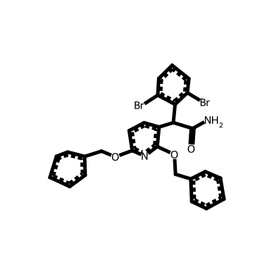 NC(=O)C(c1ccc(OCc2ccccc2)nc1OCc1ccccc1)c1c(Br)cccc1Br